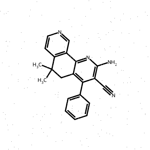 CC1(C)Cc2c(nc(N)c(C#N)c2-c2ccccc2)-c2cnccc21